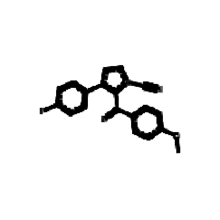 COc1ccc(C(=O)c2c(-c3ccc(F)cc3)ccn2C#N)cc1